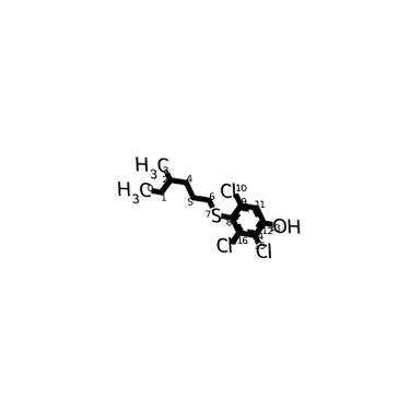 CCC(C)CCCSc1c(Cl)cc(O)c(Cl)c1Cl